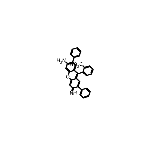 N=c1cc2oc3cc(N)c(-c4ccccc4)cc3c(-c3ccccc3C(=O)O)c-2cc1-c1ccccc1